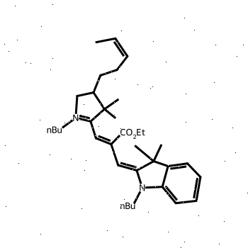 C/C=C\CCC1C[N+](CCCC)=C(/C=C(/C=C2/N(CCCC)c3ccccc3C2(C)C)C(=O)OCC)C1(C)C